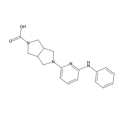 O=C(O)N1CC2CN(c3cccc(Nc4ccccc4)n3)CC2C1